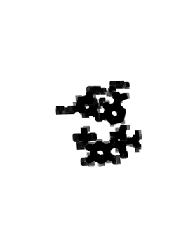 CON=C(C)c1cccc(Oc2nc(OC)cc(OC)n2)c1C(=O)O.Cc1nn(-c2cc(NS(C)(=O)=O)c(Cl)cc2Cl)c(=O)n1C(F)F